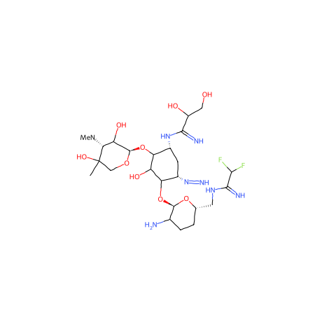 CN[C@@H]1C(O)[C@@H](OC2C(O)C(O[C@H]3O[C@H](CNC(=N)C(F)F)CCC3N)[C@@H](N=N)C[C@H]2NC(=N)C(O)CO)OCC1(C)O